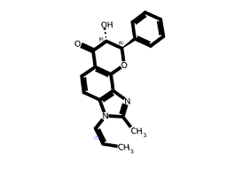 C/C=C\n1c(C)nc2c3c(ccc21)C(=O)[C@H](O)[C@@H](c1ccccc1)O3